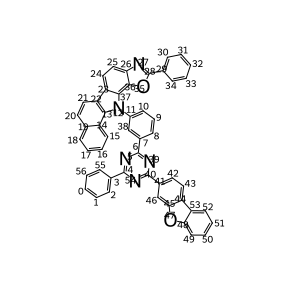 c1ccc(-c2nc(-c3cccc(-n4c5c6ccccc6ccc5c5ccc6nc(-c7ccccc7)oc6c54)c3)nc(-c3ccc4c(c3)oc3ccccc34)n2)cc1